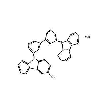 CC(C)(C)c1ccc2c(c1)c1c(n2-c2cccc(-c3cccc(-n4c5ccccc5c5cc(C(C)(C)C)ccc54)c3)c2)CCC=C1